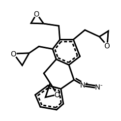 [N-]=[N+]=C(c1ccccc1)c1cc(CC2CO2)c(CC2CO2)c(CC2CO2)c1CC1CO1